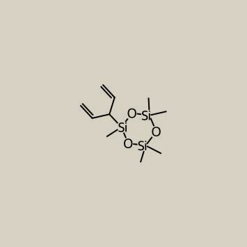 C=CC(C=C)[Si]1(C)O[Si](C)(C)O[Si](C)(C)O1